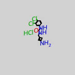 Cl.NC12CC(CNC(=O)Nc3ccc(Cl)c(Cl)c3)(C1)C2